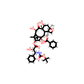 CC1=C2[C@@H](O)C(=O)[C@@]3(C)C([C@@H]4CO[C@@H]4C[C@@H]3O)[C@H](OC(=O)c3ccccc3)[C@](O)(CC1OC(=O)[C@H](O)[C@@H](NC(=O)OC(C)(C)C)c1ccccc1)C2(C)C